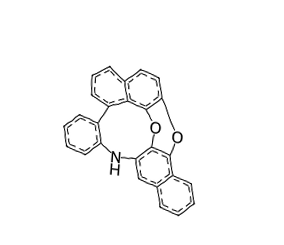 c1ccc2c(c1)Nc1cc3ccccc3c3c1Oc1c(ccc4cccc-2c14)O3